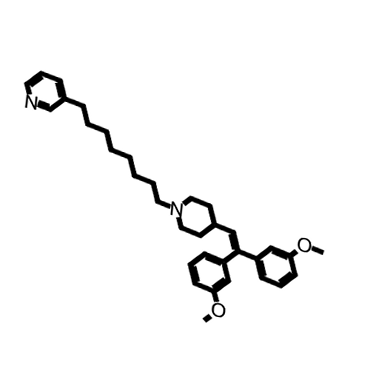 COc1cccc(C(=CC2CCN(CCCCCCCCc3cccnc3)CC2)c2cccc(OC)c2)c1